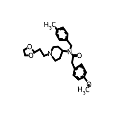 COc1ccc(CC(=O)N(Cc2ccc(C)cc2)C2CCN(CCC3OCCO3)CC2)cc1